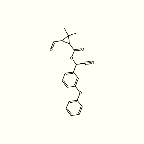 CC1(C)C(C=O)C1C(=O)O[C@@H](C#N)c1cccc(Oc2ccccc2)c1